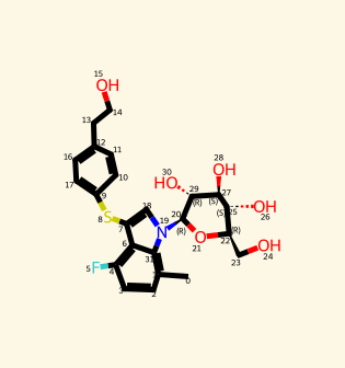 Cc1ccc(F)c2c(Sc3ccc(CCO)cc3)cn([C@@H]3O[C@H](CO)[C@@H](O)[C@H](O)[C@H]3O)c12